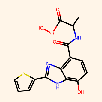 CC(NC(=O)c1ccc(O)c2[nH]c(-c3cccs3)nc12)C(=O)OO